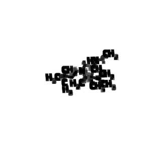 C=CNCCN(CCC(C)(C)C)C(=C)C(C)(C)C(=C)C